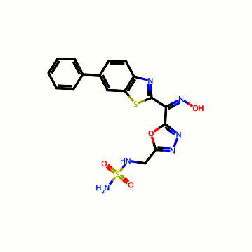 NS(=O)(=O)NCc1nnc(C(=NO)c2nc3ccc(-c4ccccc4)cc3s2)o1